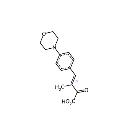 C/C(=C\c1ccc(N2CCOCC2)cc1)C(=O)C(=O)O